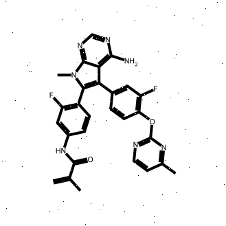 C=C(C)C(=O)Nc1ccc(-c2c(-c3ccc(Oc4nccc(C)n4)c(F)c3)c3c(N)ncnc3n2C)c(F)c1